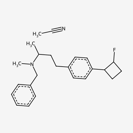 CC#N.CC(CCc1ccc(C2CCC2F)cc1)N(C)Cc1ccccc1